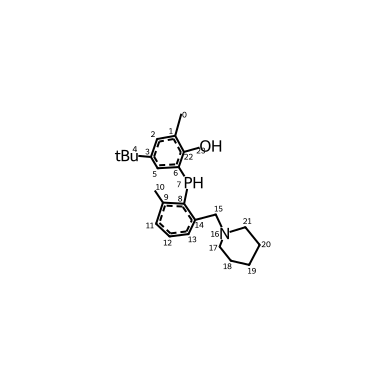 Cc1cc(C(C)(C)C)cc(Pc2c(C)cccc2CN2CCCCC2)c1O